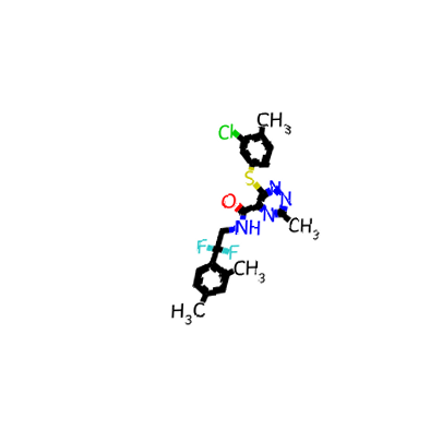 Cc1ccc(C(F)(F)CNC(=O)c2nc(C)nnc2Sc2ccc(C)c(Cl)c2)c(C)c1